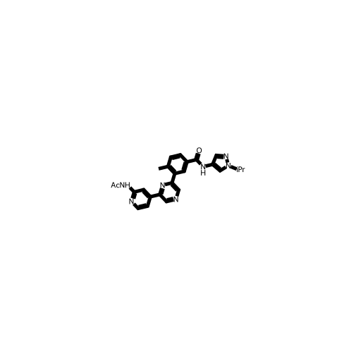 CC(=O)Nc1cc(-c2cncc(-c3cc(C(=O)Nc4cnn(C(C)C)c4)ccc3C)n2)ccn1